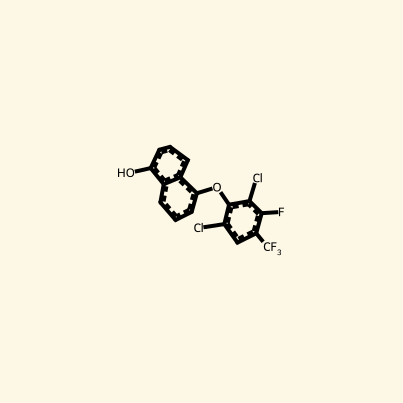 Oc1cccc2c(Oc3c(Cl)cc(C(F)(F)F)c(F)c3Cl)cccc12